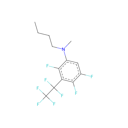 CCCCN(C)c1cc(F)c(F)c(C(F)(F)C(F)(F)F)c1F